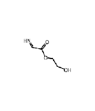 N=CC(=O)OCCO